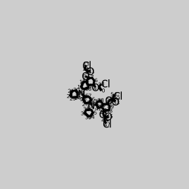 C=C(CCl)OC1CCC(OC(=O)CCl)c2ccc(N(c3ccccc3)c3ccc(N(c4ccccc4)c4ccc5c(c4)C(OC(=O)CCl)CCC5OC(=O)CCl)cc3)cc21